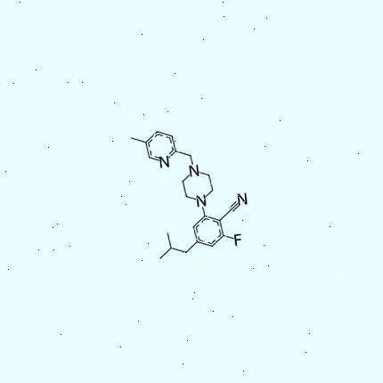 Cc1ccc(CN2CCN(c3cc(CC(C)C)cc(F)c3C#N)CC2)nc1